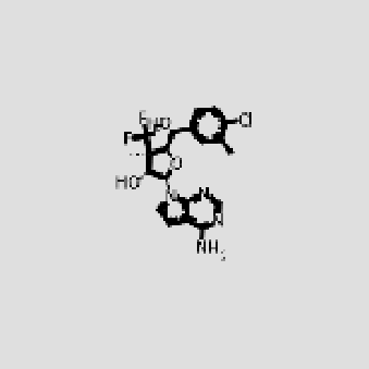 Cc1cc([C@@H](O)[C@H]2O[C@@H](n3ccc4c(N)ncnc43)[C@H](O)[C@@]2(C)C(F)(F)F)ccc1Cl